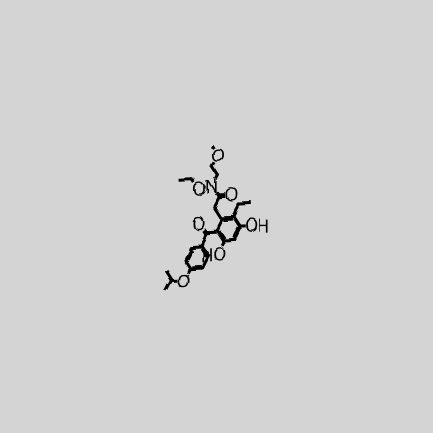 CCON(CCOC)C(=O)Cc1c(CC)c(O)cc(O)c1C(=O)c1ccc(OC(C)C)cc1